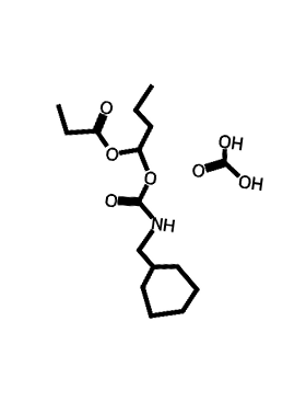 CCCC(OC(=O)CC)OC(=O)NCC1CCCCC1.O=C(O)O